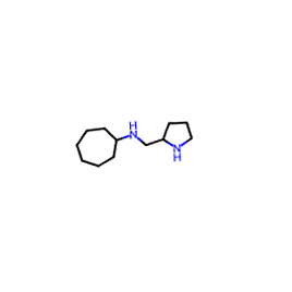 C1CCCC(NCC2CCCN2)CC1